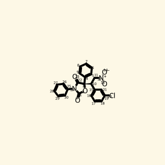 O=C1O[C@](c2ccccc2)(C(C[N+](=O)[O-])c2cccc(Cl)c2)C(=O)N1c1ccccc1